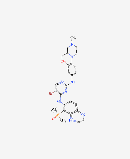 CN1CCN2c3ccc(Nc4ncc(Br)c(Nc5ccc6nccnc6c5P(C)(C)=O)n4)cc3OCC2C1